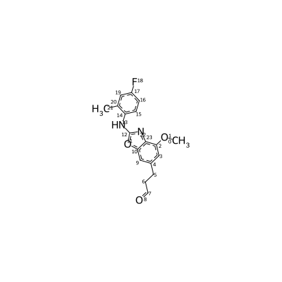 COc1cc(CCC=O)cc2oc(Nc3ccc(F)cc3C)nc12